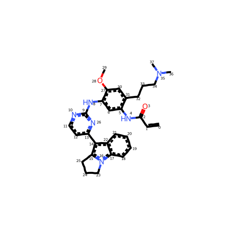 C=CC(=O)Nc1cc(Nc2nccc(-c3c4n(c5ccccc35)CCC4)n2)c(OC)cc1CCCN(C)C